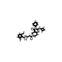 O=C(CCNCc1c(F)cccc1F)N1CCc2nc(SC3CCC3)n(-c3ccccc3)c(=O)c2C1